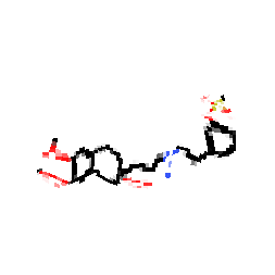 COc1cc2c(cc1OC)CCC(O)(CCCNCCc1cccc(OS(C)(=O)=O)c1)CC2